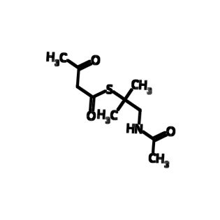 CC(=O)CC(=O)SC(C)(C)CNC(C)=O